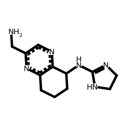 NCc1cnc2c(n1)CCCC2NC1=NCCN1